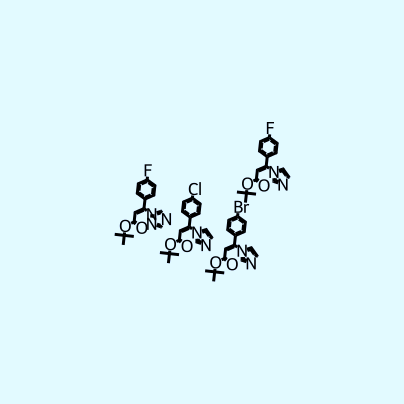 CC(C)(C)OC(=O)C=C(c1ccc(Br)cc1)n1ccnc1.CC(C)(C)OC(=O)C=C(c1ccc(Cl)cc1)n1ccnc1.CC(C)(C)OC(=O)C=C(c1ccc(F)cc1)n1ccnc1.CC(C)(C)OC(=O)C=C(c1ccc(F)cc1)n1cncn1